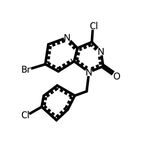 O=c1nc(Cl)c2ncc(Br)cc2n1Cc1ccc(Cl)cc1